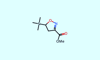 COC(=O)C1=NOC([Si](C)(C)C)C1